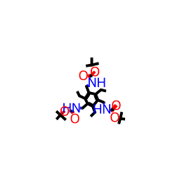 CCc1c(CNC(=O)OC(C)(C)C)c(CC)c(CNC(=O)OC(C)(C)C)c(CC)c1CNC(=O)OC(C)(C)C